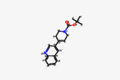 CC(C)(C)OC(=O)N1CC=C(c2cnc3ccccc3c2)CC1